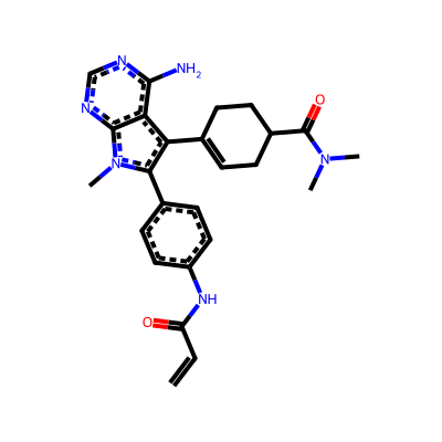 C=CC(=O)Nc1ccc(-c2c(C3=CCC(C(=O)N(C)C)CC3)c3c(N)ncnc3n2C)cc1